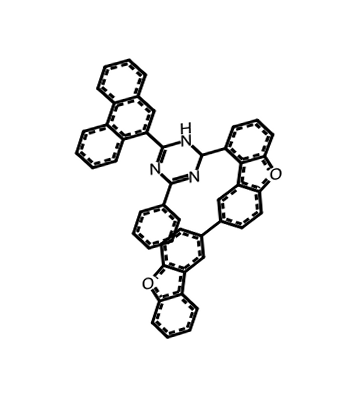 c1ccc(C2=NC(c3cccc4oc5ccc(-c6ccc7oc8ccccc8c7c6)cc5c34)NC(c3cc4ccccc4c4ccccc34)=N2)cc1